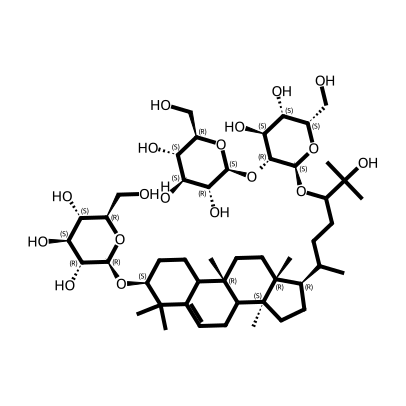 CC(CCC(O[C@@H]1O[C@@H](CO)[C@@H](O)[C@H](O)[C@H]1O[C@@H]1O[C@H](CO)[C@@H](O)[C@H](O)[C@H]1O)C(C)(C)O)[C@H]1CC[C@@]2(C)C3CC=C4C(CC[C@H](O[C@@H]5O[C@H](CO)[C@@H](O)[C@H](O)[C@H]5O)C4(C)C)[C@]3(C)CC[C@]12C